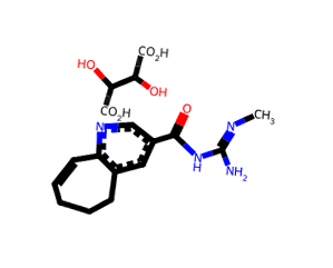 CN=C(N)NC(=O)c1cnc2c(c1)CCCC=C2.O=C(O)C(O)C(O)C(=O)O